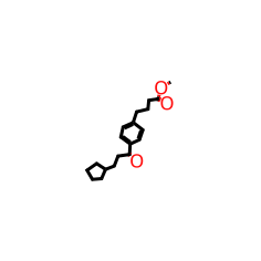 COC(=O)CCCc1ccc(C(=O)CCC2CCCC2)cc1